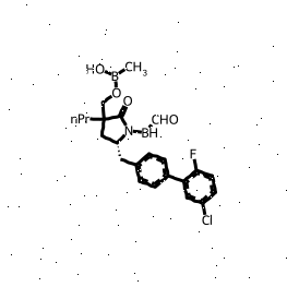 CCCC1(COB(C)O)C[C@@H](Cc2ccc(-c3cc(Cl)ccc3F)cc2)N(BC=O)C1=O